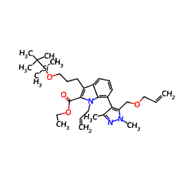 C=CCOCc1c(-c2cccc3c(CCCO[Si](C)(C)C(C)(C)C)c(C(=O)OCC)n(CC=C)c23)c(C)nn1C